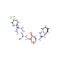 O=C(COc1coc(CN2Cc3ccccc3C2)cc1=O)N1CCN(c2ccc(Cl)cc2)CC1